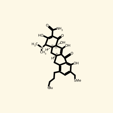 CSCc1cc(CCCC(C)(C)C)c2c(c1O)C(=O)C1=C(O)[C@]3(O)C(=O)C(C(N)=O)=C(O)C(N(C)C)[C@@H]3C[C@@H]1C2